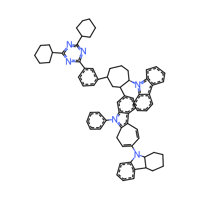 C1=Cc2c(n(-c3ccccc3)c3cc(C4CC(c5cccc(-c6nc(C7CCCCC7)nc(C7CCCCC7)n6)c5)CCC[C@H]4n4c5ccccc5c5ccccc54)ccc23)CC=C1N1c2ccccc2C2CCCCC21